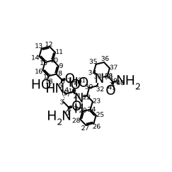 NC(=O)C[C@H](NC(=O)c1cc2ccccc2cc1O)C(=O)NC(Cc1ccccc1)C(O)CN1CCCC[C@H]1C(N)=O